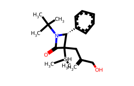 C=C(CO)CC1([SiH](C)C)C(=O)N(C(C)(C)C)[C@@H]1c1ccccc1